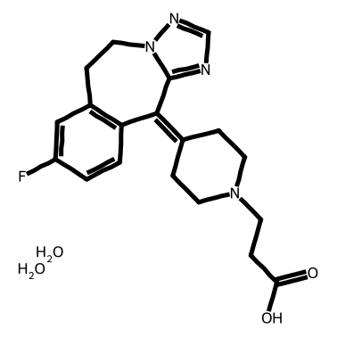 O.O.O=C(O)CCN1CCC(=C2c3ccc(F)cc3CCn3ncnc32)CC1